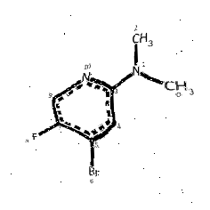 CN(C)c1cc(Br)c(F)cn1